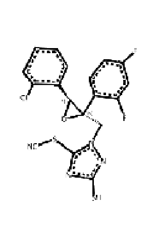 N#CSc1nc(S)nn1C[C@]1(c2ccc(F)cc2F)O[C@H]1c1ccccc1Cl